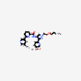 COCCOCCn1cc(NC(=O)c2cccc(-c3cncc(C)c3)n2)c(-c2ccccn2)n1.O=CO